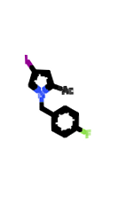 CC(=O)c1cc(I)cn1Cc1ccc(F)cc1